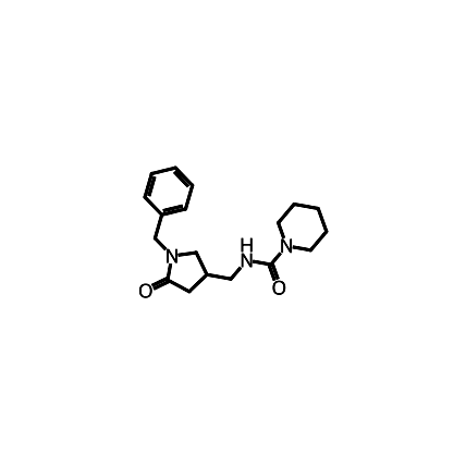 O=C1CC(CNC(=O)N2CCCCC2)CN1Cc1ccccc1